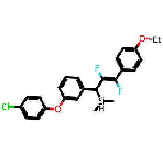 CCOc1ccc(C(F)=C(F)C(c2cccc(Oc3ccc(Cl)cc3)c2)[SiH](C)C)cc1